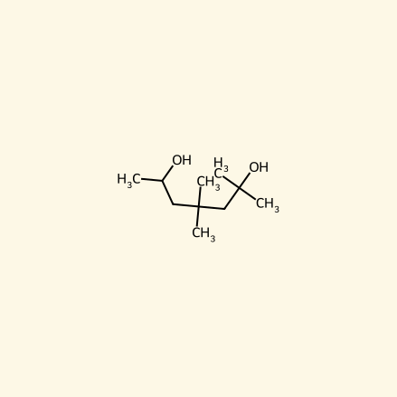 CC(O)CC(C)(C)CC(C)(C)O